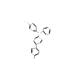 Cc1ccc(-c2ccc(N(c3ccccc3)c3ccc(Br)cc3)cc2)cc1